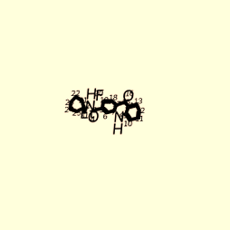 CCC1(NC(=O)C2=CC3Nc4ccccc4C(=O)C3C=C2F)CCCCC1